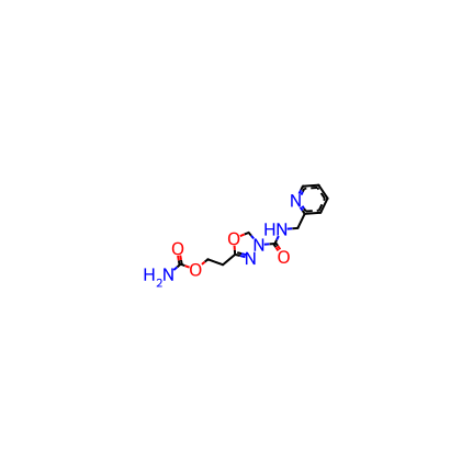 NC(=O)OCCC1=NN(C(=O)NCc2ccccn2)CO1